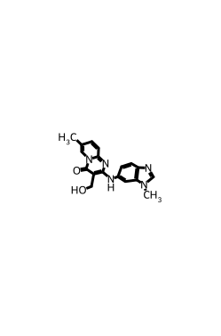 Cc1ccc2nc(Nc3ccc4ncn(C)c4c3)c(CO)c(=O)n2c1